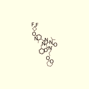 Cc1nc(OC2CC(F)(F)C2)ccc1-c1nc(N(C=O)C(C)C)c(C(=O)N(C)CCCOC2CCCCO2)n1Cc1ccccc1